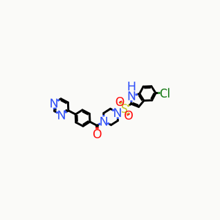 O=C(c1ccc(-c2ccncn2)cc1)N1CCN(S(=O)(=O)c2cc3cc(Cl)ccc3[nH]2)CC1